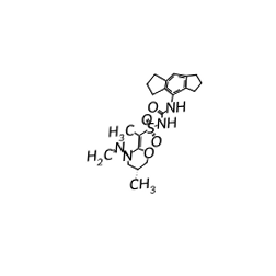 C=NN1C[C@@H](C)CO/C1=C(/C)S(=O)(=O)NC(=O)Nc1c2c(cc3c1CCC3)CCC2